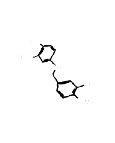 COc1ccc(CNc2ccc(C)c(O)c2)cc1C